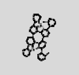 Cc1ccccc1-c1ccc2c(c1C)-c1c(ccc3c1sc1ccccc13)-c1ccc3c(sc4ccccc43)c1-c1c-2ccc(-c2ccccc2C)c1C